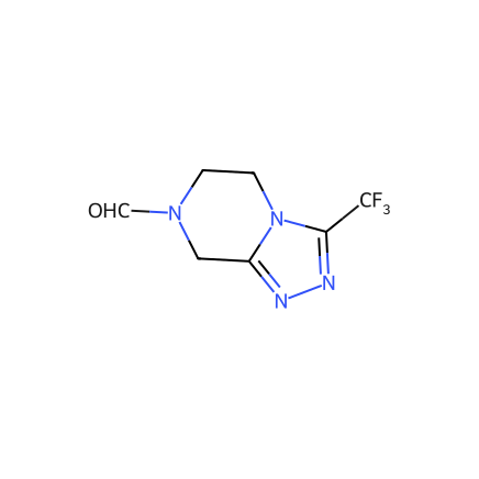 O=CN1CCn2c(nnc2C(F)(F)F)C1